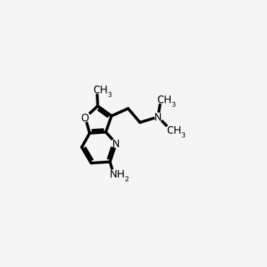 Cc1oc2ccc(N)nc2c1CCN(C)C